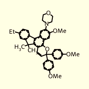 CCc1ccc2c(c1)C(C)(C)c1c3c(c4cc(OC)c(N5CCOCC5)cc4c1-2)OC(c1ccc(OC)cc1)(c1ccc(OC)cc1)C=C3